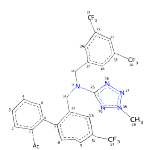 CC(=O)c1ccccc1-c1ccc(C(F)(F)F)cc1CN(Cc1cc(C(F)(F)F)cc(C(F)(F)F)c1)c1nnn(C)n1